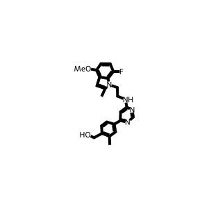 COc1ccc(F)c2c1cc(C)n2CCNc1cc(-c2ccc(CO)c(C)c2)ncn1